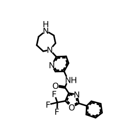 O=C(Nc1ccc(N2CCCNCC2)nc1)c1nc(-c2ccccc2)oc1C(F)(F)F